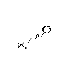 OC1(CCCCOCc2ccccc2)CC1